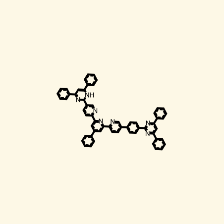 C1=C(c2ccccc2)NC(c2ccc(-c3cc(-c4ccccc4)cc(-c4ccc(-c5ccc(-c6nc(-c7ccccc7)cc(-c7ccccc7)n6)cc5)cn4)n3)nc2)N=C1c1ccccc1